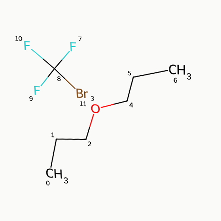 CCCOCCC.FC(F)(F)Br